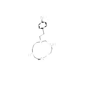 O=[N+]([O-])c1ccc(CCN2CCCNCCNCCCNCC2)cc1